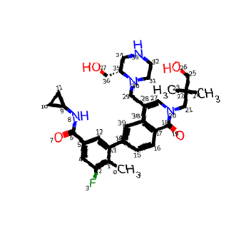 Cc1c(F)cc(C(=O)NC2CC2)cc1-c1ccc2c(=O)n(CC(C)(C)CO)cc(CN3CCNC[C@H]3CO)c2c1